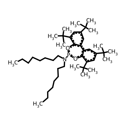 CCCCCCCCN(CCCCCCCC)p1oc2c(C(C)(C)C)cc(C(C)(C)C)cc2c2cc(C(C)(C)C)cc(C(C)(C)C)c2o1